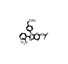 CC(=O)OCc1ccc(-n2c(-c3cccnc3N)nc3ccc(OC(F)F)nc32)cc1